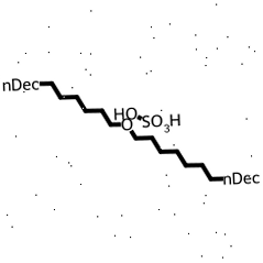 CCCCCCCCCCCCCCCCCOCCCCCCCCCCCCCCCC.O=S(=O)(O)O